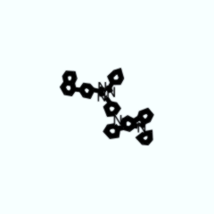 c1ccc(-c2nc(-c3ccc(-c4cccc5ccccc45)cc3)nc(-c3ccc(-n4c5ccccc5c5cc6c(cc54)c4ccccc4n6-c4ccccc4)cc3)n2)cc1